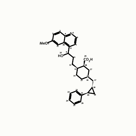 COc1ccc2nccc(C(O)CC[C@@H]3CCN(C[C@@H]4C[C@H]4c4ccccc4)C[C@@H]3C(=O)O)c2c1